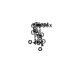 CCCCCCCO[C@@H]1CN(C(=O)c2ccc(C(=O)N3C[C@@H](C(=O)NC4C[C@@H]4c4ccccc4)[C@H](C(=O)N[C@H]4C[C@@H]4c4ccccc4)C3)cc2)C[C@H]1C(=O)NCCCCCC